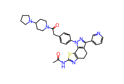 CC(=O)Nc1nc2c(s1)-c1c(c(-c3cccnc3)nn1-c1ccc(CC(=O)N3CCC(N4CCCC4)CC3)cc1)CC2